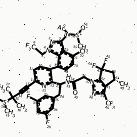 CC(=O)N(c1nn(CC(F)(F)F)c2c(-c3ccc(C#CC(C)(C)[S+](C)[O-])nc3C(Cc3cc(F)cc(F)c3)NC(=O)Cn3nc(C(F)(F)F)c4c3C(F)(F)C[C@@H]4C)ccc(Cl)c12)[S+](C)[O-]